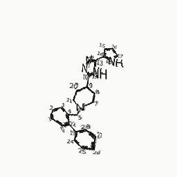 [c]1cccc(CN2CCC(c3nnc(-c4ccc[nH]4)[nH]3)CC2)c1-c1ccccc1